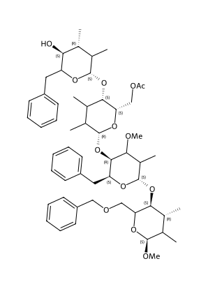 COC1C(C)[C@H](O[C@@H]2C(COCc3ccccc3)O[C@H](OC)C(C)[C@H]2C)O[C@@H](Cc2ccccc2)[C@H]1O[C@H]1O[C@@H](COC(C)=O)[C@@H](O[C@@H]2OC(Cc3ccccc3)[C@@H](O)[C@H](C)C2C)C(C)C1C